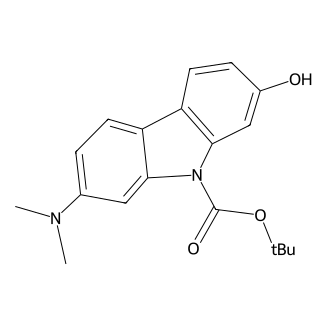 CN(C)c1ccc2c3ccc(O)cc3n(C(=O)OC(C)(C)C)c2c1